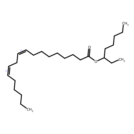 CCCCC/C=C\C/C=C\CCCCCCCC(=O)OC(CC)CCCCC